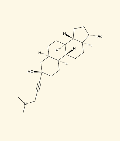 CC(=O)[C@H]1CC[C@H]2[C@@H]3CC[C@@H]4C[C@@](O)(C#CCN(C)C)CC[C@]4(C)[C@H]3CC[C@]12C